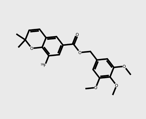 COc1cc(COC(=O)c2cc([18F])c3c(c2)C=CC(C)(C)O3)cc(OC)c1OC